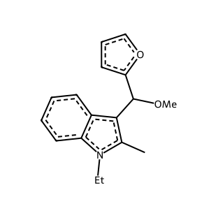 CCn1c(C)c(C(OC)c2ccco2)c2ccccc21